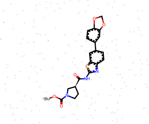 CC(C)(C)OC(=O)N1CC[C@H](C(=O)Nc2nc3ccc(-c4ccc5c(c4)OCO5)cc3s2)C1